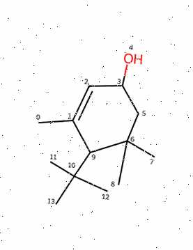 CC1=CC(O)CC(C)(C)C1C(C)(C)C